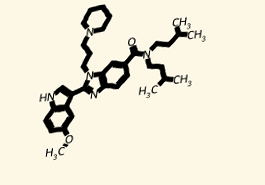 COc1ccc2[nH]cc(-c3nc4ccc(C(=O)N(CCC(C)C)CCC(C)C)cc4n3CCCN3CCCCC3)c2c1